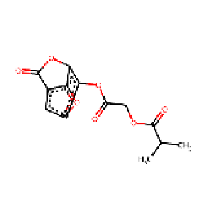 CC(C)C(=O)OCC(=O)Oc1c2c3oc1cc3C(=O)O2